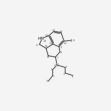 CCCN(CCC)C1Cc2c(I)ccc3c2C(CN3)C1